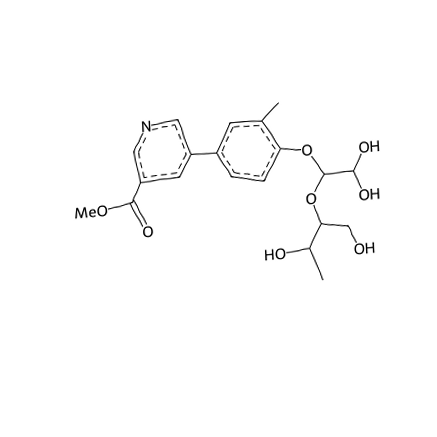 COC(=O)c1cncc(-c2ccc(OC(OC(CO)C(C)O)C(O)O)c(C)c2)c1